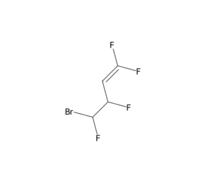 FC(F)=CC(F)C(F)Br